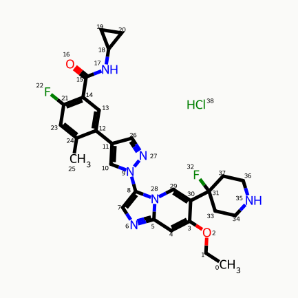 CCOc1cc2ncc(-n3cc(-c4cc(C(=O)NC5CC5)c(F)cc4C)cn3)n2cc1C1(F)CCNCC1.Cl